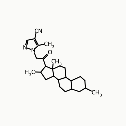 Cc1c(C#N)cnn1CC(=O)C1C(C)CC2C3CCC4CC(C)CCC4C3CCC21C